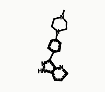 CN1CCN(c2ccc(-c3n[nH]c4cccnc34)cc2)CC1